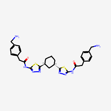 NCc1ccc(CC(=O)Nc2nnc([C@H]3CCC[C@H](c4nnc(NC(=O)Cc5ccc(CN)cc5)s4)C3)s2)cc1